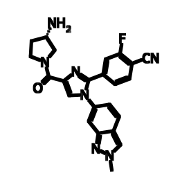 Cn1cc2ccc(-n3cc(C(=O)N4CC[C@H](N)C4)nc3-c3ccc(C#N)c(F)c3)cc2n1